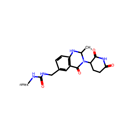 CCCCCCNC(=O)NCc1ccc2c(c1)C(=O)N(C1CCC(=O)NC1=O)C(C)N2